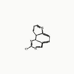 ClC1=NC2C(=CC=C3N=CC=CC32)C=N1